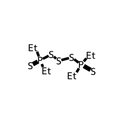 CCP(=S)(CC)SSSP(=S)(CC)CC